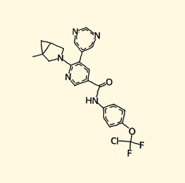 CC12CC1CN(c1ncc(C(=O)Nc3ccc(OC(F)(F)Cl)cc3)cc1-c1cncnc1)C2